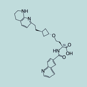 O=C(N[C@@H](CCO[C@H]1C[C@H](CCc2ccc3c(n2)NCCC3)C1)C(=O)O)c1ccc2ncccc2c1